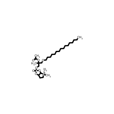 CCCCCCCCCCCCCCCCOCC(C)(COP1(=O)OC2CC[N+](C)(C)C2O1)OC(C)=O